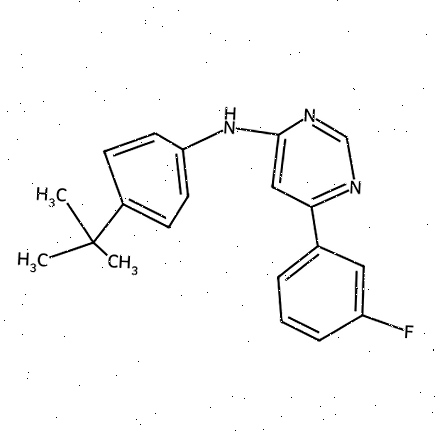 CC(C)(C)c1ccc(Nc2cc(-c3cccc(F)c3)ncn2)cc1